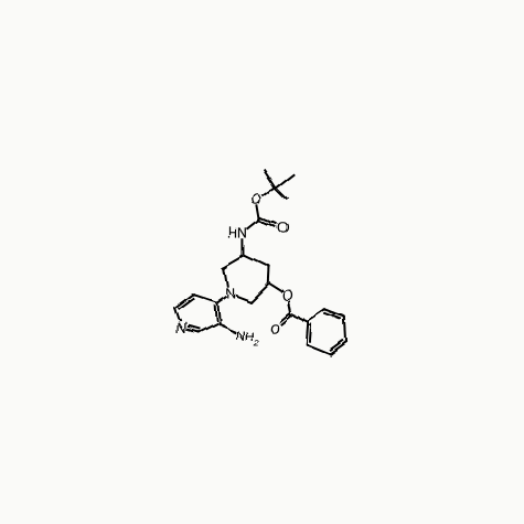 CC(C)(C)OC(=O)NC1CC(OC(=O)c2ccccc2)CN(c2ccncc2N)C1